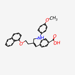 COc1ccc(NCC(=Cc2ccc(C(=O)O)cc2)CCOc2cccc3ccccc23)cc1